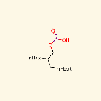 CCCCCCCCC(CCCCCC)CO[PH](=O)O